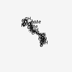 COc1cc(-c2cn(C)c(=O)c3cnccc23)cc(OC)c1CN1CC2(CCC2NC(=O)CCOCCOc2cccc3c2C(=O)N(C2CCC(=O)NC2=O)C3=O)C1